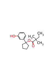 CCC(C)(C)C(=O)OC1(c2cccc(O)c2)CCCC1